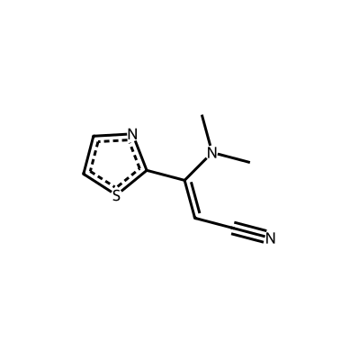 CN(C)C(=CC#N)c1nccs1